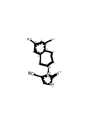 N#Cc1c[nH]c(=S)n1[C@@H]1CCc2c(F)cc(F)cc2C1